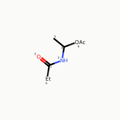 CCC(=O)NC(C)OC(C)=O